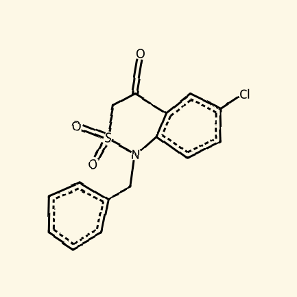 O=C1CS(=O)(=O)N(Cc2ccccc2)c2ccc(Cl)cc21